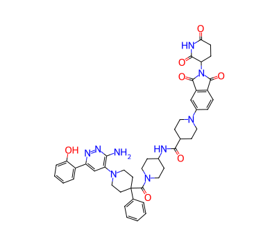 Nc1nnc(-c2ccccc2O)cc1N1CCC(C(=O)N2CCC(NC(=O)C3CCN(c4ccc5c(c4)C(=O)N(C4CCC(=O)NC4=O)C5=O)CC3)CC2)(c2ccccc2)CC1